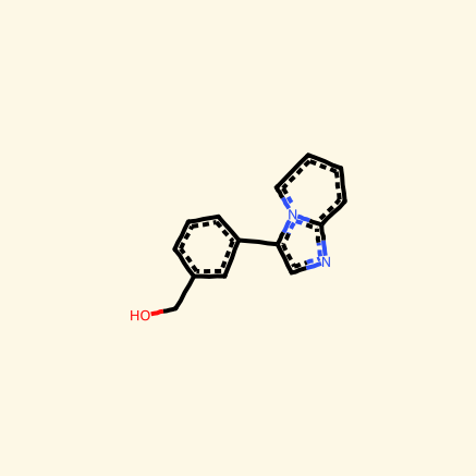 OCc1cccc(-c2cnc3ccccn23)c1